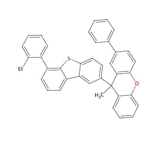 CCc1ccccc1-c1cccc2c1sc1ccc(C3(C)c4ccccc4Oc4ccc(-c5ccccc5)cc43)cc12